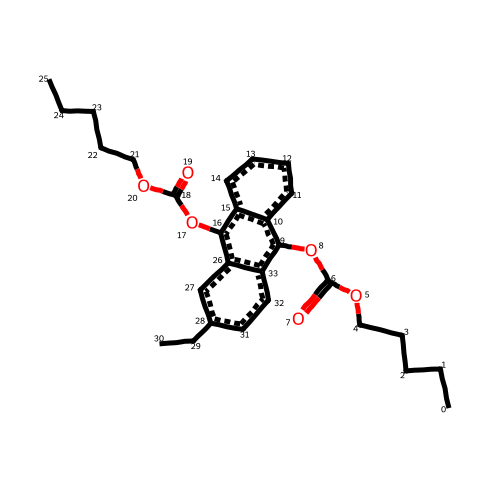 CCCCCOC(=O)Oc1c2ccccc2c(OC(=O)OCCCCC)c2cc(CC)ccc12